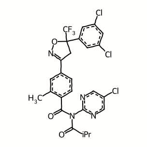 Cc1cc(C2=NOC(c3cc(Cl)cc(Cl)c3)(C(F)(F)F)C2)ccc1C(=O)N(C(=O)C(C)C)c1ncc(Cl)cn1